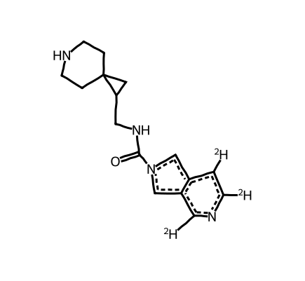 [2H]c1nc([2H])c2cn(C(=O)NCC3CC34CCNCC4)cc2c1[2H]